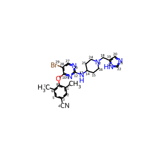 Cc1cc(C#N)cc(C)c1Oc1nc(NC2CCN(Cc3cnc[nH]3)CC2)ncc1Br